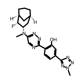 CN(c1cnc(-c2ccc(-c3nnn(C)n3)cc2O)nn1)[C@H]1C[C@@H]2CCC[C@@H](C2)[C@H]1F